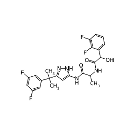 CC(NC(=O)C(O)c1cccc(F)c1F)C(=O)Nc1cc(C(C)(C)c2cc(F)cc(F)c2)n[nH]1